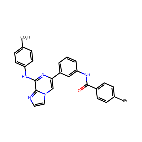 CC(C)c1ccc(C(=O)Nc2cccc(-c3cn4ccnc4c(Nc4ccc(C(=O)O)cc4)n3)c2)cc1